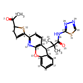 CC(=O)C1CC=C(c2ccc3c(n2)Oc2ccccc2[C@@H]3C(C)(C)C(=O)Nc2nncs2)S1